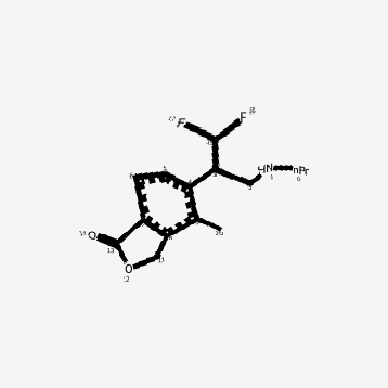 CCCNCC(c1ccc2c(c1C)COC2=O)C(F)F